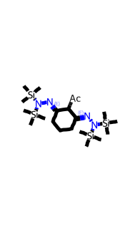 CC(=O)C1/C(=N/N([Si](C)(C)C)[Si](C)(C)C)CCC/C1=N\N([Si](C)(C)C)[Si](C)(C)C